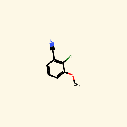 COc1cccc(C#N)c1Cl